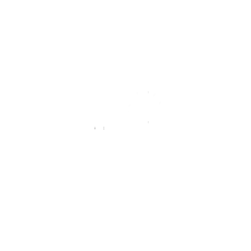 COC(C)Cc1c(F)cccc1F